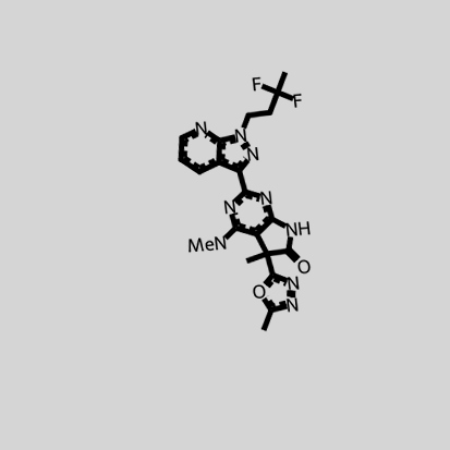 CNc1nc(-c2nn(CCC(C)(F)F)c3ncccc23)nc2c1C(C)(c1nnc(C)o1)C(=O)N2